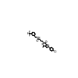 Cc1nn(CCCC(=O)NCc2cccc(C(F)(F)F)c2)c(=O)c2nn(-c3ccc(Cl)cc3)cc12